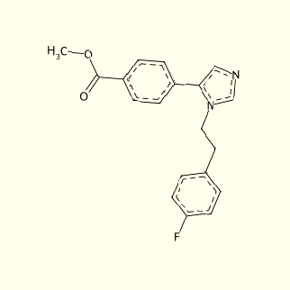 COC(=O)c1ccc(-c2cncn2CCc2ccc(F)cc2)cc1